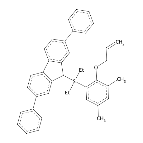 C=CCOc1c(C)cc(C)cc1[Si](CC)(CC)C1c2cc(-c3ccccc3)ccc2-c2ccc(-c3ccccc3)cc21